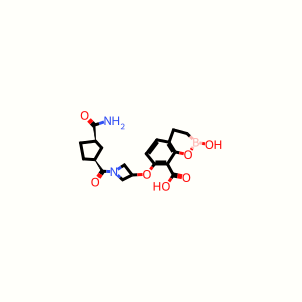 NC(=O)[C@@H]1CC[C@H](C(=O)N2CC(Oc3ccc4c(c3C(=O)O)OB(O)CC4)C2)C1